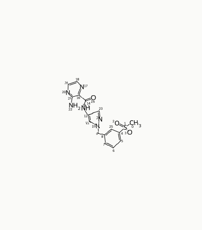 CS(=O)(=O)c1cccc(Cn2cc(NC(=O)c3nccnc3N)cn2)c1